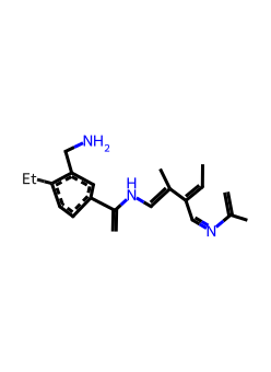 C=C(C)\N=C/C(=C/C)C(/C)=C/NC(=C)c1ccc(CC)c(CN)c1